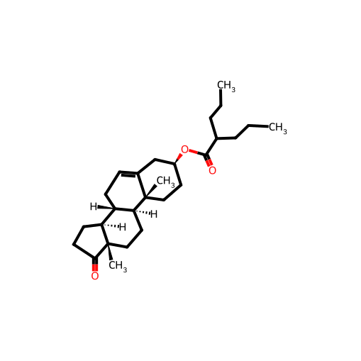 CCCC(CCC)C(=O)O[C@H]1CC[C@@]2(C)C(=CC[C@@H]3[C@@H]2CC[C@]2(C)C(=O)CC[C@@H]32)C1